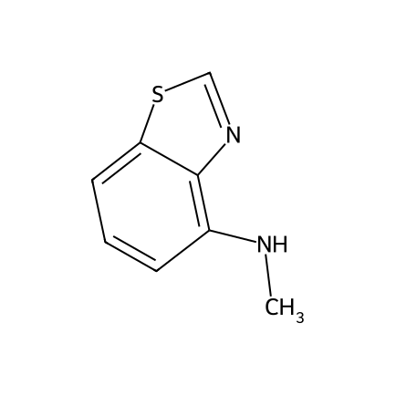 CNc1cccc2scnc12